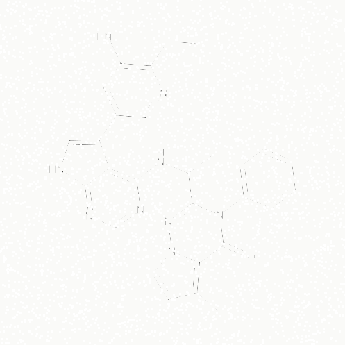 COc1ncc(-c2c[nH]c3ncnc(NC(C)c4nn5ccc(C)c5c(=O)n4-c4ccccc4)c23)cc1N